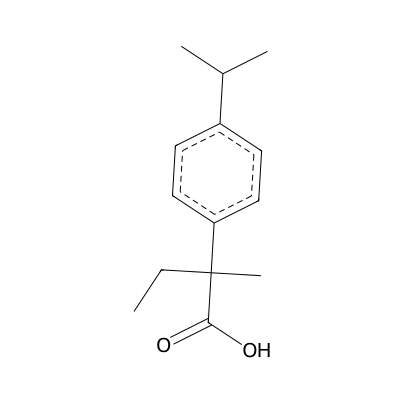 CCC(C)(C(=O)O)c1ccc(C(C)C)cc1